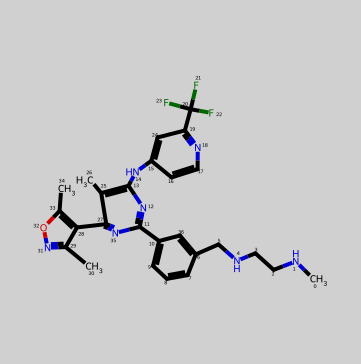 CNCCNCc1cccc(-c2nc(Nc3ccnc(C(F)(F)F)c3)c(C)c(-c3c(C)noc3C)n2)c1